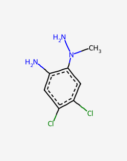 CN(N)c1cc(Cl)c(Cl)cc1N